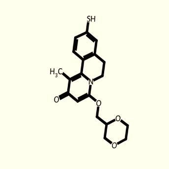 Cc1c2n(c(OCC3COCCO3)cc1=O)CCc1cc(S)ccc1-2